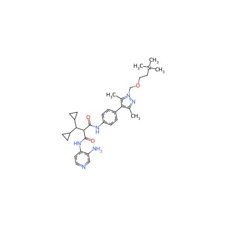 Cc1nn(COCC[Si](C)(C)C)c(C)c1-c1ccc(NC(=O)C(C(=O)Nc2ccncc2N)C(C2CC2)C2CC2)cc1